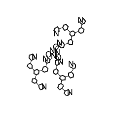 c1cncc(-c2cccc(-c3cc(-c4cccc(-c5cccnc5)c4)cc(-c4cccc(-c5ccc(Oc6nc(Oc7ccc(-c8cccc(-c9cc(-c%10cccc(-c%11cccnc%11)c%10)cc(-c%10cccc(-c%11cccnc%11)c%10)c9)c8)cn7)nc(Oc7ccc(-c8cccc(-c9cc(-c%10cccc(-c%11cccnc%11)c%10)cc(-c%10cccc(-c%11cccnc%11)c%10)c9)c8)cn7)n6)nc5)c4)c3)c2)c1